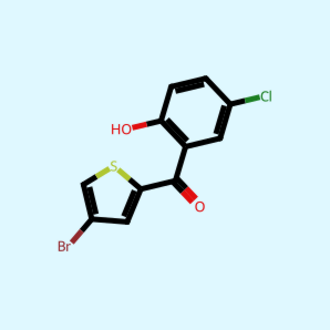 O=C(c1cc(Br)cs1)c1cc(Cl)ccc1O